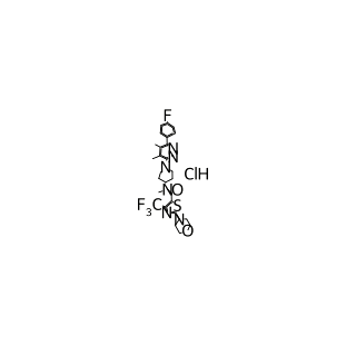 Cc1c(-c2ccc(F)cc2)nnc(N2CCC(N(C)C(=O)c3sc(N4CCOCC4)nc3C(F)(F)F)CC2)c1C.Cl